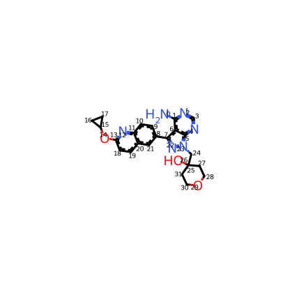 Nc1ncnc2c1c(-c1ccc3nc(OC4CC4)ccc3c1)nn2CC1(O)CCOCC1